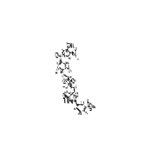 Cc1cc(C(=O)N2C[C@@H](O)[C@H](N(C)C)C2)cc(C)c1/C=C/S(=O)(=O)N1CCC2(CC1)N=C(c1cccc(C(F)(F)F)c1)NC2=O